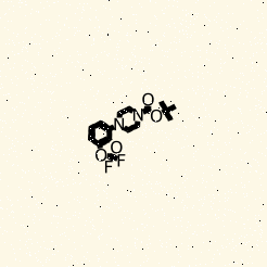 CC(C)(C)OC(=O)N1CCN(c2cccc3c2OC(F)(F)O3)CC1